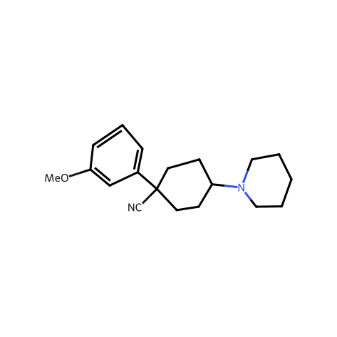 COc1cccc(C2(C#N)CCC(N3CCCCC3)CC2)c1